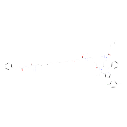 CC(C)(C)[C@H](c1cc(-c2cc(F)ccc2F)cn1Cc1ccccc1)N(CCCNC(=O)OCC[Si](C)(C)C)C(=O)CSC[C@H](NC(=O)CCOCCOCCOCCOCCNC(=O)CNC(=O)OCc1ccccc1)C(=O)O